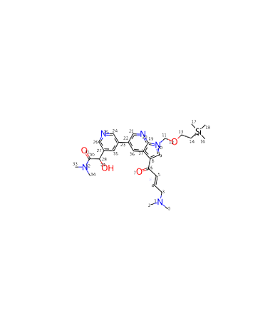 CN(C)C/C=C/C(=O)c1cn(COCC[Si](C)(C)C)c2ncc(-c3cncc(C(O)C(=O)N(C)C)c3)cc12